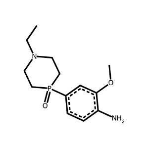 CCN1CCP(=O)(c2ccc(N)c(OC)c2)CC1